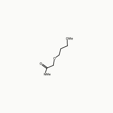 CNC(=O)COCCCOC